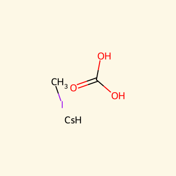 CI.O=C(O)O.[CsH]